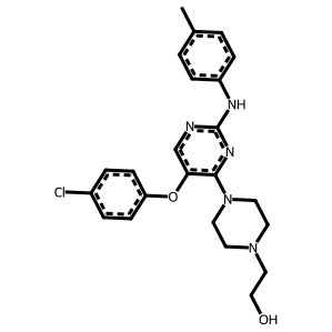 Cc1ccc(Nc2ncc(Oc3ccc(Cl)cc3)c(N3CCN(CCO)CC3)n2)cc1